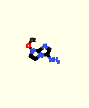 CCOn1ccn2c(N)cnc12